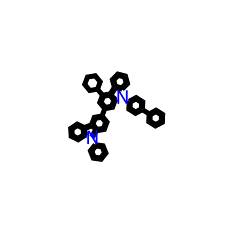 c1ccc(-c2ccc(-n3c4ccccc4c4c(C5CCCCC5)cc(-c5ccc6c(c5)c5ccccc5n6-c5ccccc5)cc43)cc2)cc1